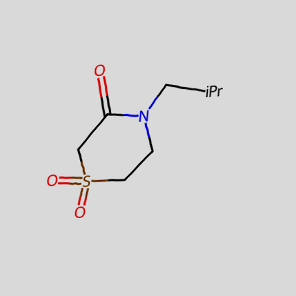 CC(C)CN1CCS(=O)(=O)CC1=O